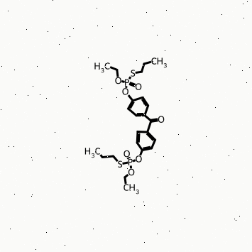 CCCSP(=O)(OCC)Oc1ccc(C(=O)c2ccc(OP(=O)(OCC)SCCC)cc2)cc1